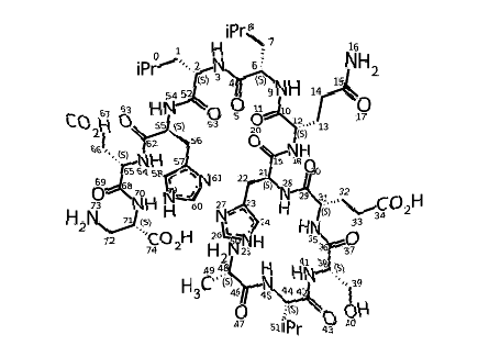 CC(C)C[C@H](NC(=O)[C@H](CC(C)C)NC(=O)[C@H](CCC(N)=O)NC(=O)[C@H](Cc1c[nH]cn1)NC(=O)[C@H](CCC(=O)O)NC(=O)[C@H](CO)NC(=O)[C@@H](NC(=O)[C@H](C)N)C(C)C)C(=O)N[C@@H](Cc1c[nH]cn1)C(=O)N[C@@H](CC(=O)O)C(=O)N[C@@H](CN)C(=O)O